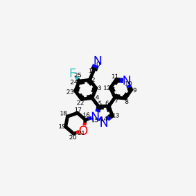 N#Cc1cc(-c2c(-c3ccncc3)cnn2C2CCCCO2)ccc1F